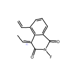 C=Cc1cccc2c1/C(=C\C)C(=O)N(F)C2=O